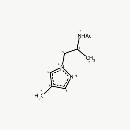 CC(=O)NC(C)Cn1cc(C)cn1